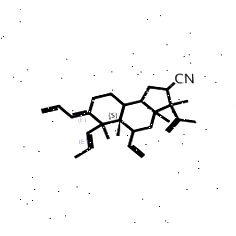 C=C/C=C1\CCC2C3CC(C#N)C(C)(C(=C)C)C3(C)CC(C=C)[C@]2(C)C1(C)/C=C/C